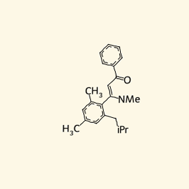 CN/C(=C\C(=O)c1ccccc1)c1c(C)cc(C)cc1CC(C)C